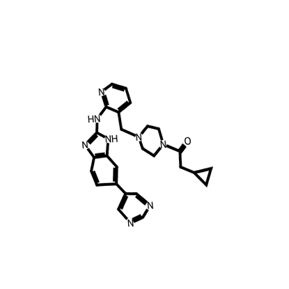 O=C(CC1CC1)N1CCN(Cc2cccnc2Nc2nc3ccc(-c4cncnc4)cc3[nH]2)CC1